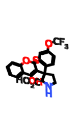 O=C(O)[C@H]1NCCC1(c1ccc(OC(F)(F)F)cc1)c1c(O)c2ccccc2oc1=O